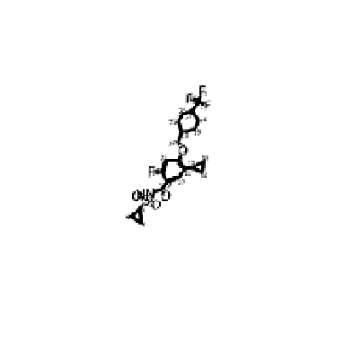 O=C(NS(=O)(=O)C1CC1)c1cc(C2CC2)c(OCC2CCC(C(F)(F)F)CC2)cc1F